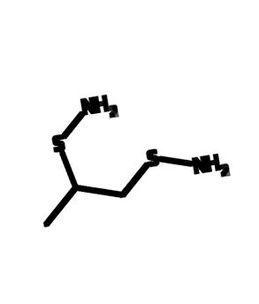 CC(CSN)SN